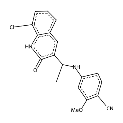 COc1cc(NC(C)c2cc3cccc(Cl)c3[nH]c2=O)ccc1C#N